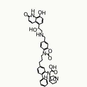 O=C(O)N(c1cc(CCCn2c(=O)oc3cc(CNC[C@H](O)c4ccc(O)c5[nH]c(=O)ccc45)ccc32)ccc1-c1ccccc1)[C@H]1CN2CCC1CC2